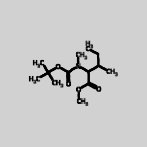 CCC(C)C(C(=O)OC)N(C)C(=O)OC(C)(C)C